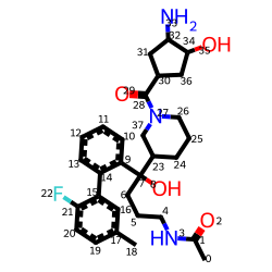 CC(=O)NCCCC(O)(c1ccccc1-c1cc(C)ccc1F)C1CCCN(C(=O)C2CC(N)C(O)C2)C1